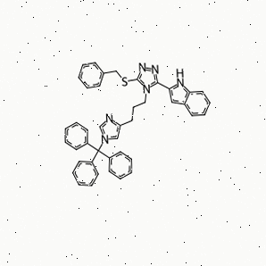 c1ccc(CSc2nnc(-c3cc4ccccc4[nH]3)n2CCCc2cn(C(c3ccccc3)(c3ccccc3)c3ccccc3)cn2)cc1